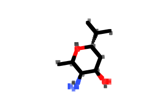 CC(C)[C@@H]1C[C@@H](O)[C@@H](N)C(C)O1